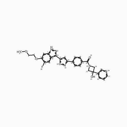 COCCOc1cc2[nH]nc(-c3cc(-c4ccc(C(=O)N5CC(O)(c6cccnc6)C5)cc4)no3)c2cc1F